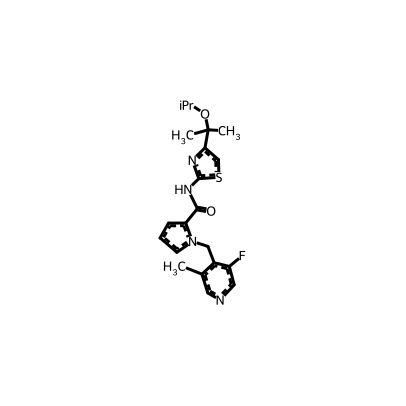 Cc1cncc(F)c1Cn1cccc1C(=O)Nc1nc(C(C)(C)OC(C)C)cs1